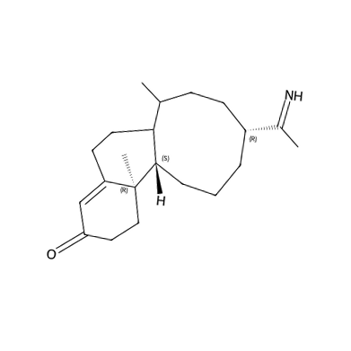 CC(=N)[C@@H]1CCC[C@H]2C(CCC3=CC(=O)CC[C@@]32C)C(C)CC1